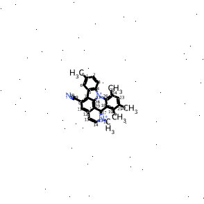 Cc1ccc2c(c1)c1c(C#N)cc3cc[n+](C)c4c5c(C)c(C)cc(C)c5n2c1c34